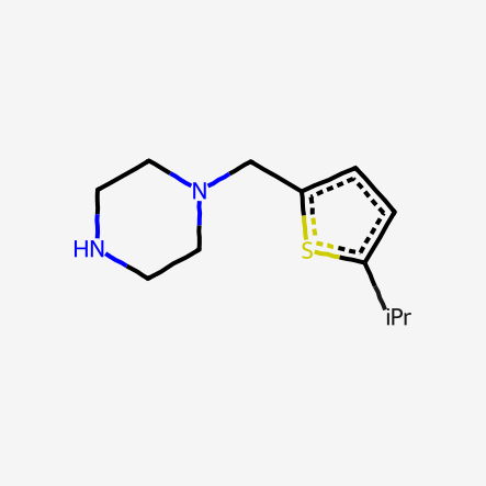 CC(C)c1ccc(CN2CCNCC2)s1